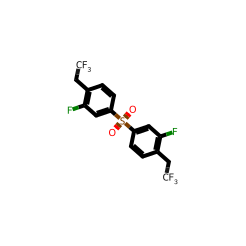 O=S(=O)(c1ccc(CC(F)(F)F)c(F)c1)c1ccc(CC(F)(F)F)c(F)c1